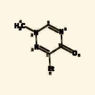 CCc1nn(C)cnc1=O